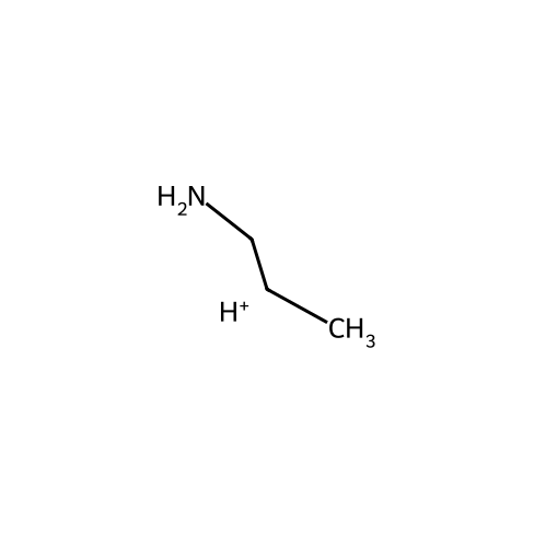 CCCN.[H+]